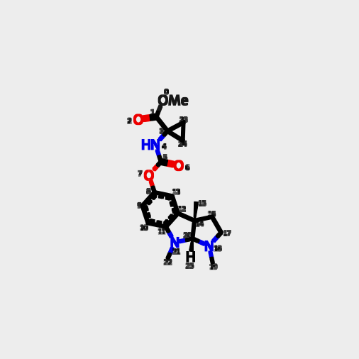 COC(=O)C1(NC(=O)Oc2ccc3c(c2)[C@]2(C)CCN(C)[C@@H]2N3C)CC1